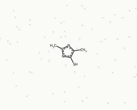 Cc1nn(C)nc1S